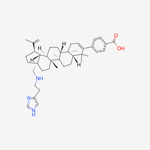 C=C(C)[C@@H]1CC[C@]2(CNCCc3c[nH]cn3)CC[C@]3(C)[C@H](CC[C@@H]4[C@@]5(C)CC=C(c6ccc(C(=O)O)cc6)C(C)(C)[C@@H]5CC[C@]43C)[C@@H]12